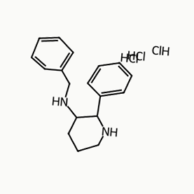 Cl.Cl.Cl.c1ccc(CNC2CCCNC2c2ccccc2)cc1